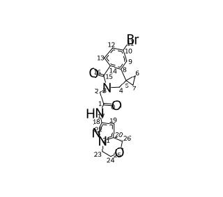 O=C(CN1CC2(CC2)c2cc(Br)ccc2C1=O)Nc1cc2n(n1)CCOC2